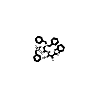 CCCC(NC(=O)[C@H](CS(=O)(=O)Cc1ccccc1)N(Cc1ccccc1)Cc1ccccc1)C(=O)c1nc2ccccc2s1